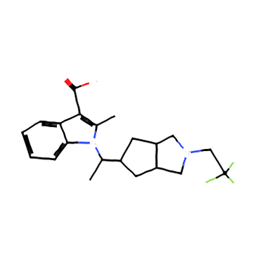 Cc1c(C(=O)O)c2ccccc2n1C(C)C1CC2CN(CC(F)(F)F)CC2C1